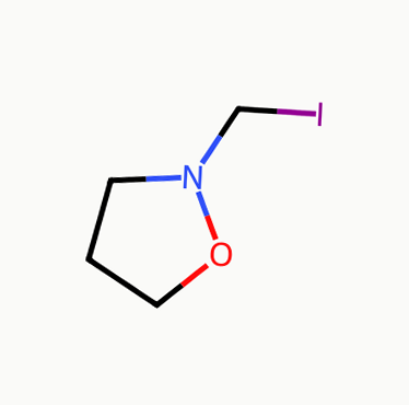 ICN1CCCO1